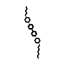 CCCCCCC[C@H]1CC[C@H](c2ccc(-c3ccc([C@H]4CC[C@H](CCCCC)CC4)cc3)cc2)CC1